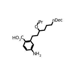 CCCCCCCCCCCCCC(CCc1cc(N)ccc1C(=O)O)OC(C)C